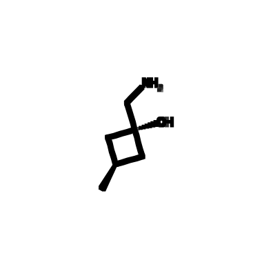 C[C@H]1C[C@@](O)(CN)C1